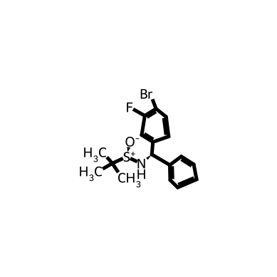 CC(C)(C)[S@@+]([O-])N[C@@H](c1ccccc1)c1ccc(Br)c(F)c1